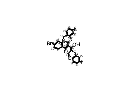 O=c1oc2c(c(O)c1Sc1cccc(F)c1)c(=O)n(Cc1ccc(F)cc1)c1cc(Br)ccc21